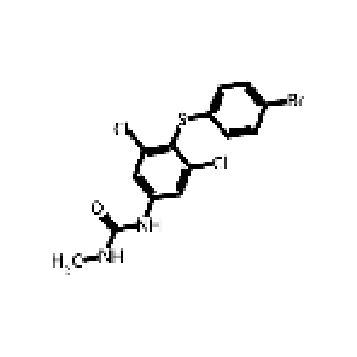 CNC(=O)Nc1cc(Cl)c(Sc2ccc(Br)cc2)c(Cl)c1